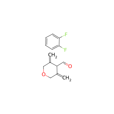 C=C1COCC(=C)C1C=O.Fc1ccccc1F